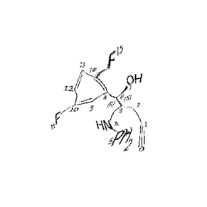 C#CC[C@H](NP)[C@H](O)c1cc(F)ccc1F